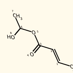 CC=CC(=O)OC(C)O